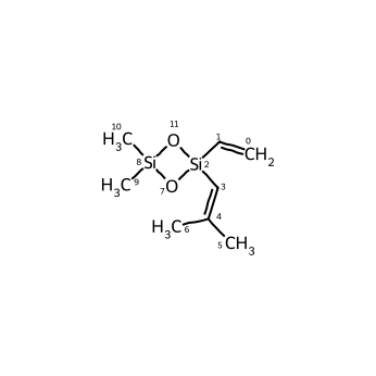 C=C[Si]1(C=C(C)C)O[Si](C)(C)O1